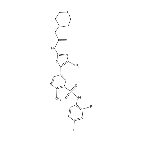 Cc1ncc(-c2sc(NC(=O)CC3CCOCC3)nc2C)cc1S(=O)(=O)Nc1ccc(F)cc1F